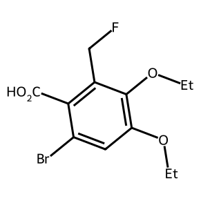 CCOc1cc(Br)c(C(=O)O)c(CF)c1OCC